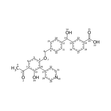 CC(=O)c1ccc(OCc2ccc(C(O)c3cccc(C(=O)O)c3)cc2)c(-c2ccncc2)c1O